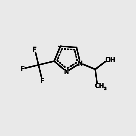 CC(O)n1c[c]c(C(F)(F)F)n1